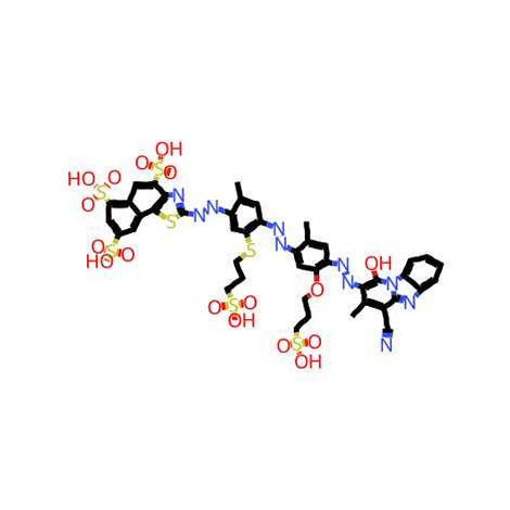 Cc1cc(N=Nc2cc(OCCCS(=O)(=O)O)c(N=Nc3c(C)c(C#N)c4nc5ccccc5n4c3O)cc2C)c(SCCCS(=O)(=O)O)cc1N=Nc1nc2c(S(=O)(=O)O)cc3c(S(=O)(=O)O)cc(S(=O)(=O)O)cc3c2s1